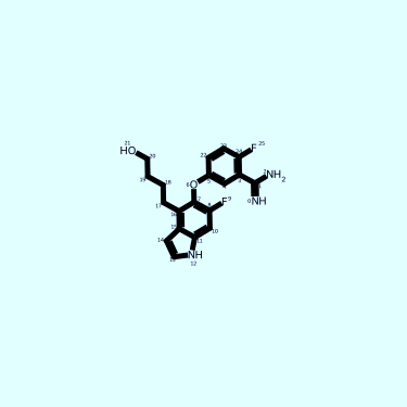 N=C(N)c1cc(Oc2c(F)cc3[nH]ccc3c2CCCCO)ccc1F